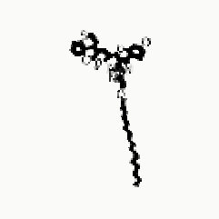 CCCCCCCCCCCCCCCCOCc1nnc2\c(=C/C(C)=C/C(C(=O)OC)=C3\C=CSc4ccccc43)c(-c3ccc(OC)cc3OC)nn12